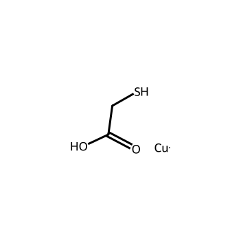 O=C(O)CS.[Cu]